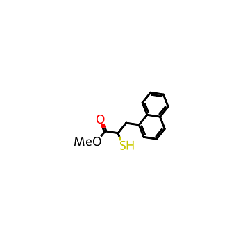 COC(=O)C(S)Cc1cccc2ccccc12